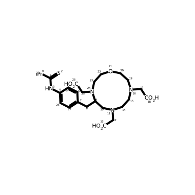 CC(C)C(=S)Nc1ccc(CC2CN(CC(=O)O)CCN(CC(=O)O)CCOCCN2CC(=O)O)cc1